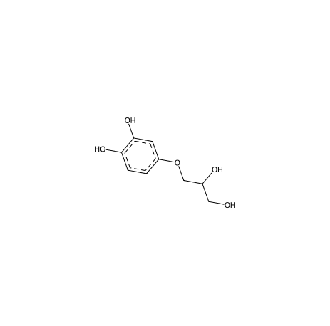 OCC(O)COc1ccc(O)c(O)c1